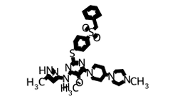 COc1c(Nc2cc(C)[nH]n2)nc(Sc2ccc(S(=O)(=O)Cc3ccccc3)cc2)nc1N1CCC(N2CCN(C)CC2)CC1